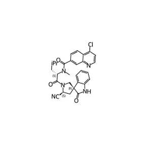 CC(C)C[C@@H](C(=O)N1C[C@]2(C[C@H]1C#N)C(=O)Nc1ccccc12)N(C)C(=O)c1ccc2c(Cl)ccnc2c1